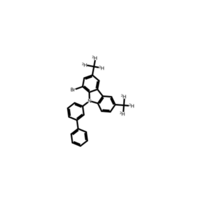 [2H]C([2H])([2H])c1ccc2c(c1)c1cc(C([2H])([2H])[2H])cc(Br)c1n2-c1cccc(-c2ccccc2)c1